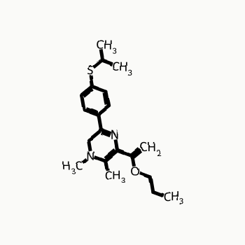 C=C(OCCC)C1=C(C)N(C)CC(c2ccc(SC(C)C)cc2)=N1